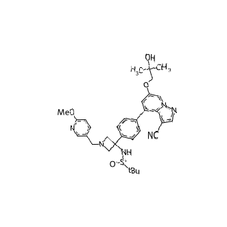 COc1ccc(CN2CC(N[S+]([O-])C(C)(C)C)(c3ccc(-c4cc(OCC(C)(C)O)cn5ncc(C#N)c45)cc3)C2)cn1